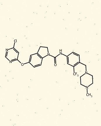 CN1CCN(Cc2ccc(NC(=O)N3CCc4cc(Oc5cc(Cl)ncn5)ccc43)cc2C(F)(F)F)CC1